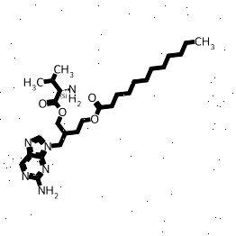 CCCCCCCCCCCC(=O)OCCC(COC(=O)[C@@H](N)C(C)C)Cn1cnc2cnc(N)nc21